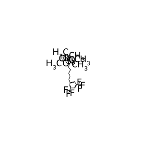 CC(C)O[Si](CCCCCCc1cc(C(F)(F)F)cc(C(F)(F)F)c1)(OC(C)C)OC(C)C